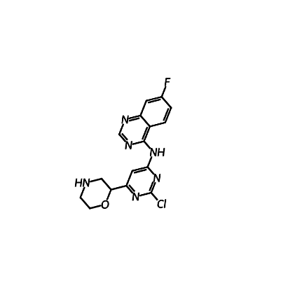 Fc1ccc2c(Nc3cc(C4CNCCO4)nc(Cl)n3)ncnc2c1